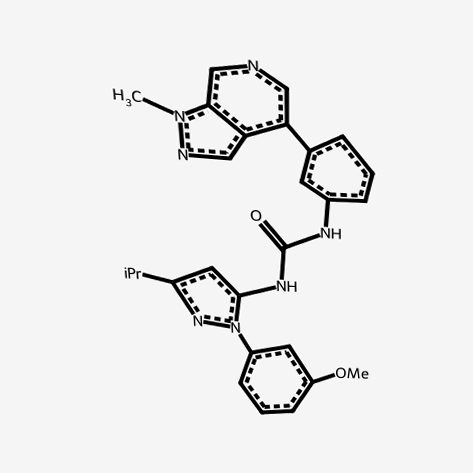 COc1cccc(-n2nc(C(C)C)cc2NC(=O)Nc2cccc(-c3cncc4c3cnn4C)c2)c1